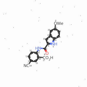 COc1ccc2[nH]c(C(=O)Nc3ccc(C#N)cc3C(=O)O)cc2c1